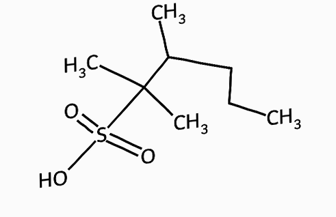 CCCC(C)C(C)(C)S(=O)(=O)O